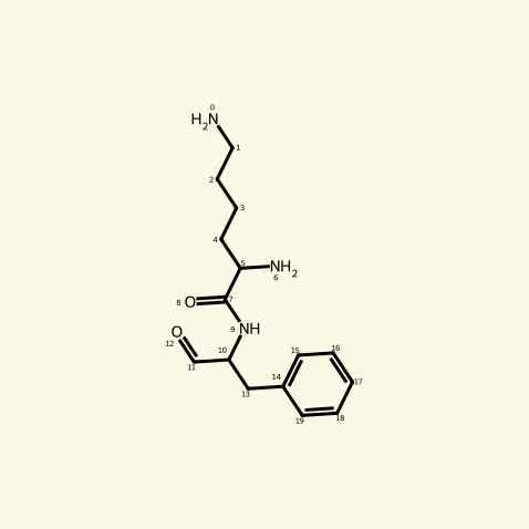 NCCCCC(N)C(=O)NC(C=O)Cc1ccccc1